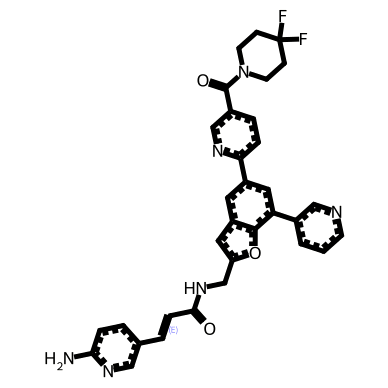 Nc1ccc(/C=C/C(=O)NCc2cc3cc(-c4ccc(C(=O)N5CCC(F)(F)CC5)cn4)cc(-c4cccnc4)c3o2)cn1